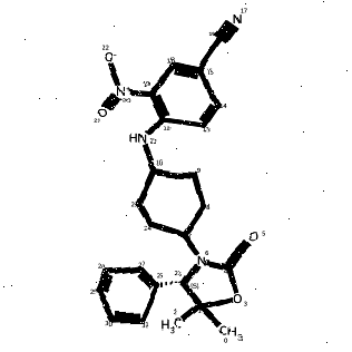 CC1(C)OC(=O)N(C2CCC(Nc3ccc(C#N)cc3[N+](=O)[O-])CC2)[C@H]1c1ccccc1